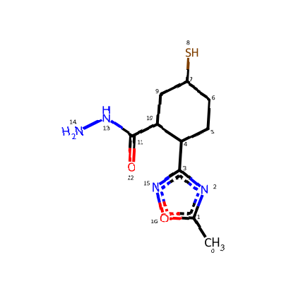 Cc1nc(C2CCC(S)CC2C(=O)NN)no1